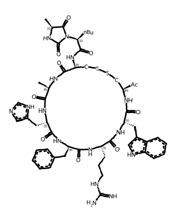 CCCC[C@@H](C(=O)N[C@H]1CSSC[C@@H](C(C)=O)NC(=O)[C@H](Cc2c[nH]c3ccccc23)NC(=O)[C@H](CCCNC(=N)N)NC(=O)[C@@H](Cc2ccccc2)NC(=O)[C@H](Cc2cnc[nH]2)NC(=O)[C@@H](C)NC1=O)N1C(=O)N[C@@H](C)C1=O